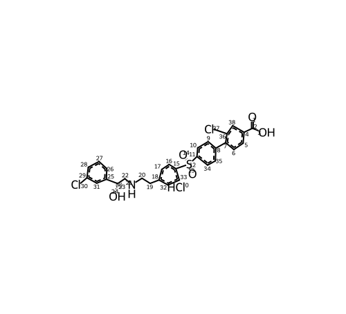 Cl.O=C(O)c1ccc(-c2ccc(S(=O)(=O)c3ccc(CCNC[C@H](O)c4cccc(Cl)c4)cc3)cc2)c(Cl)c1